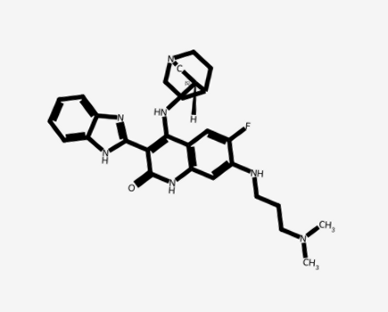 CN(C)CCCNc1cc2[nH]c(=O)c(-c3nc4ccccc4[nH]3)c(N[C@@H]3CN4CCC3CC4)c2cc1F